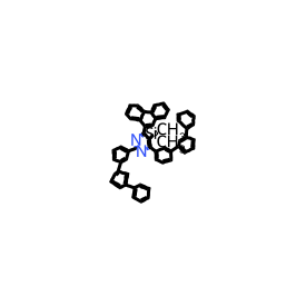 C[Si]1(C)c2c(-c3cccc(-c4cccc(-c5ccccc5)c4)c3)nc(-c3cccc(-c4cccc(-c5ccccc5)c4)c3)nc2-c2c1c1ccccc1c1ccccc21